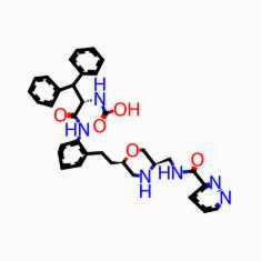 O=C(O)N[C@H](C(=O)Nc1ccccc1CC[C@@H]1CN[C@H](CNC(=O)c2cccnn2)CO1)C(c1ccccc1)c1ccccc1